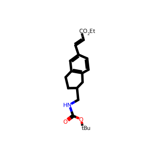 CCOC(=O)C=Cc1ccc2c(c1)CCC(CNC(=O)OC(C)(C)C)C2